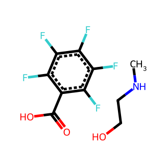 CNCCO.O=C(O)c1c(F)c(F)c(F)c(F)c1F